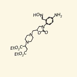 CCOC(=O)CC(C(=O)OCC)N1CCN(CC2CN(c3ccc(N)cc3C=NO)C(=O)O2)CC1